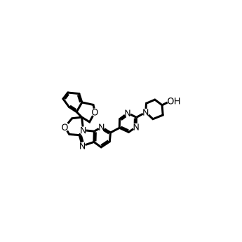 OC1CCN(c2ncc(-c3ccc4nc5n(c4n3)C3(COCc4ccccc43)COC5)cn2)CC1